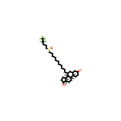 C[C@]12CCC(=O)CC1CC(CCCCCCCCCCC[S+]([O-])CCCC(F)(F)C(F)(F)F)[C@@H]1[C@H]2CC[C@]2(C)C(O)CC[C@@H]12